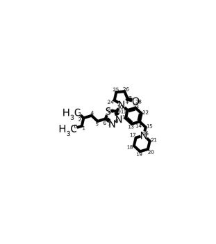 CCC(C)CCc1nnc([N+]2(c3ccc(CN4CCCCC4)cc3)CCCC2=O)s1